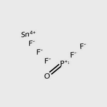 O=[P+].[F-].[F-].[F-].[F-].[F-].[Sn+4]